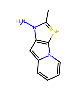 CC1=[SH]c2c(cc3ccccn23)N1N